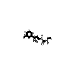 CCN(C)C(=O)Nc1cc(-c2cccc(C)c2)ns1